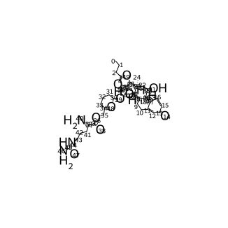 CCCC1O[C@@H]2C[C@H]3[C@@H]4CCC5=CC(=O)C=C[C@]5(C)[C@H]4[C@@H](O)C[C@]3(C)[C@]2(C(=O)COC2CCCC(COC(=O)[C@@H](N)CCCNC(N)=O)O2)O1